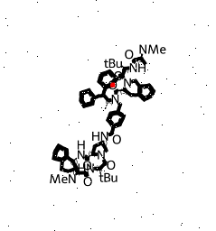 CN[C@@H](C)C(=O)N[C@H](C(=O)N1C[C@@H](NC(=O)c2ccc(CN(C(=O)[C@@H]3Cc4ccccc4CN3C(=O)[C@@H](NC(=O)[C@H](C)NC)C(C)(C)C)[C@H](C)C(c3ccccc3)c3ccccc3)cc2)C[C@H]1C(=O)N[C@@H]1CCCc2ccccc21)C(C)(C)C